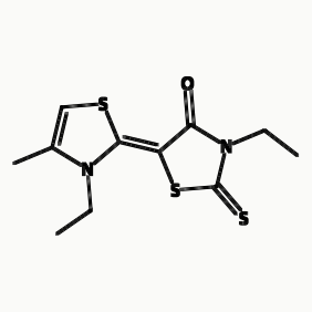 CCN1C(=O)/C(=C2\SC=C(C)N2CC)SC1=S